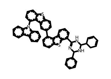 C1=CCC(C2NC(c3cccc4c3sc3cccc(-c5ccc6sc7cccc(-n8c9ccccc9c9ccccc98)c7c6c5)c34)=NC(c3ccccc3)N2)C=C1